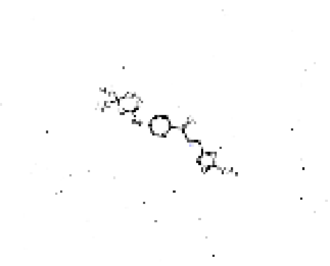 Cc1nc(/C=C/C(=O)c2ccc(NC(=O)OC(C)(C)C)cc2)co1